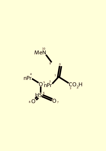 C=C(CCC)C(=O)O.CCCO[SH](=O)=O.CNC